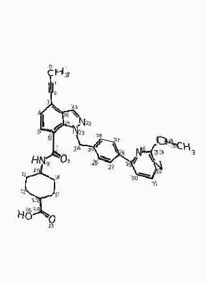 CC#Cc1ccc(C(=O)NC2CCC(C(=O)O)CC2)c2c1cnn2Cc1ccc(-c2ccnc(OC)n2)cc1